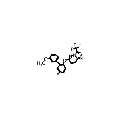 COc1cccc(-c2cc(F)ccc2Oc2ccc3nnc(C(F)(F)F)n3n2)c1